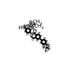 CC(C)S(=O)(=O)Nc1cc(N2CCc3cc(-c4ccc(OC(F)(F)F)cc4)ccc3C2=O)ccc1O